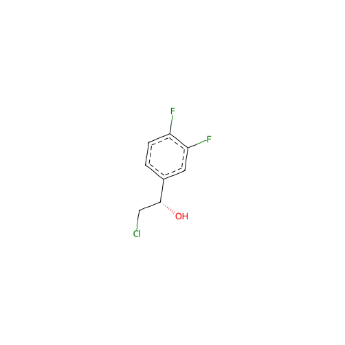 O[C@H](CCl)c1ccc(F)c(F)c1